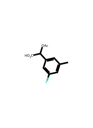 CC(=O)OC(C(=O)O)c1cc(C)cc(F)c1